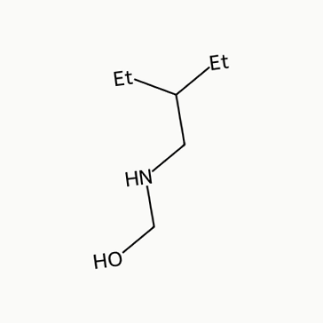 CCC(CC)CNCO